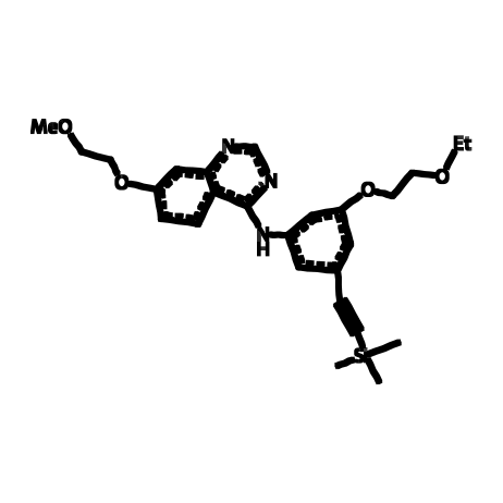 CCOCCOc1cc(C#C[Si](C)(C)C)cc(Nc2ncnc3cc(OCCOC)ccc23)c1